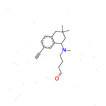 C#Cc1ccc2c(c1)C(N(C)CCCC=O)CC(C)(C)C2